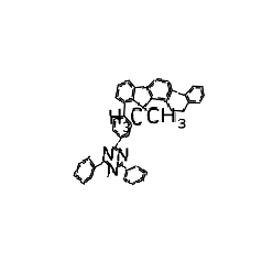 CC1(C)c2c(-c3ccc(-c4nc(-c5ccccc5)nc(-c5ccccc5)n4)cc3)cccc2-c2ccc3c(c21)CCc1ccccc1-3